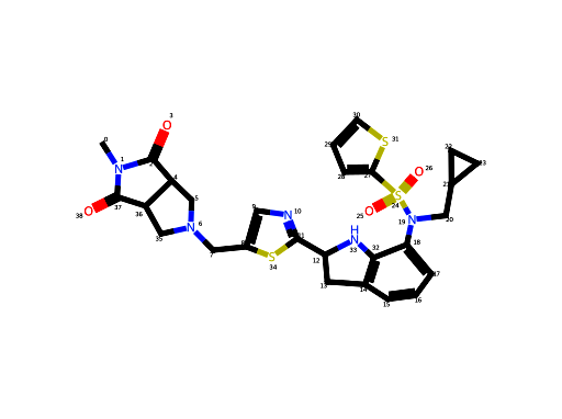 CN1C(=O)C2CN(Cc3cnc(C4Cc5cccc(N(CC6CC6)S(=O)(=O)c6cccs6)c5N4)s3)CC2C1=O